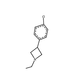 CCN1CC(c2ccc(Cl)cc2)C1